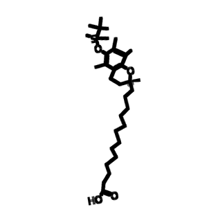 Cc1c(C)c2c(c(C)c1O[Si](C)(C)C(C)(C)C)CC[C@@](C)(CCCCCCCCCCCCC(=O)O)O2